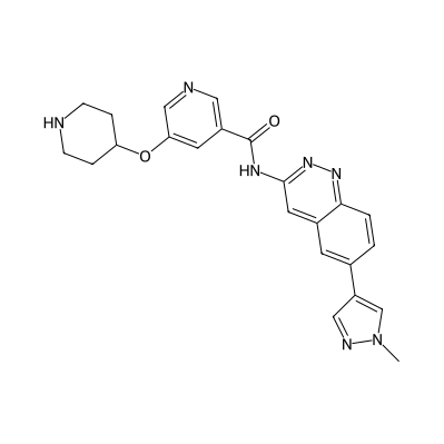 Cn1cc(-c2ccc3nnc(NC(=O)c4cncc(OC5CCNCC5)c4)cc3c2)cn1